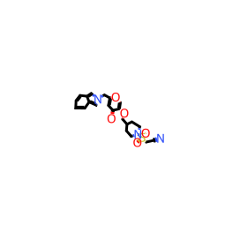 N#CCS(=O)(=O)N1CCC(COc2coc(Cn3cc4ccccc4c3)cc2=O)CC1